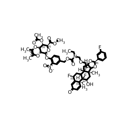 CCN(COCC(=O)[C@@]12O[C@H](c3cccc(F)c3)O[C@@H]1C[C@H]1[C@@H]3C[C@H](F)C4=CC(=O)C=C[C@]4(C)[C@@]3(F)[C@@H](O)C[C@@]12C)C(=O)OCc1ccc(O[C@@H]2O[C@H](C(=O)OC)[C@@H](OC(C)=O)[C@H](OC(C)=O)[C@H]2OC(C)=O)c([N+](=O)[O-])c1